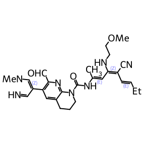 CC/C=C/C(C#N)=C(\C=C(/C)NC(=O)N1CCCc2cc(/C(C=N)=C/NC)c(C=O)nc21)NCCOC